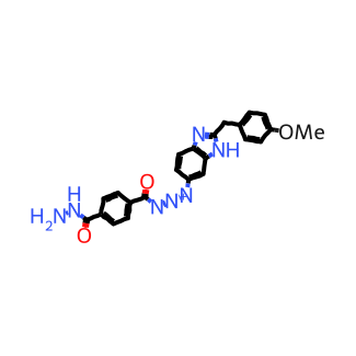 COc1ccc(Cc2nc3ccc(N=[N+]=NC(=O)c4ccc(C(=O)NN)cc4)cc3[nH]2)cc1